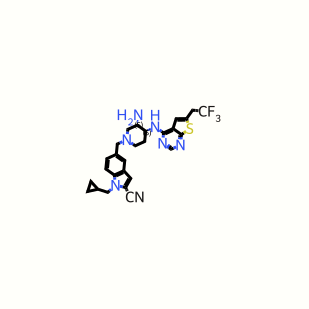 N#Cc1cc2cc(CN3CC[C@H](Nc4ncnc5sc(CC(F)(F)F)cc45)[C@@H](N)C3)ccc2n1CC1CC1